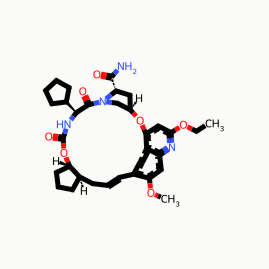 CCOc1cc2c3cc(c(OC)cc3n1)/C=C/C[C@H]1CCC[C@@H]1OC(=O)N[C@@H](C1CCCC1)C(=O)N1C[C@@H](C[C@H]1C(N)=O)O2